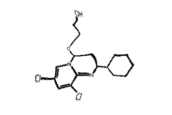 OCCOC1CC(C2CCCCC2)N=C2C(Cl)=CC(Cl)=CN21